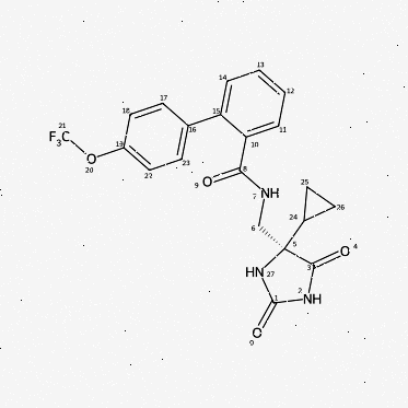 O=C1NC(=O)[C@](CNC(=O)c2ccccc2-c2ccc(OC(F)(F)F)cc2)(C2CC2)N1